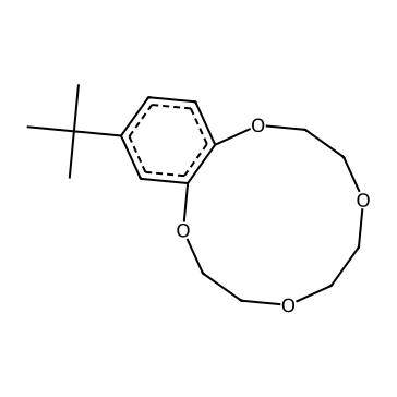 CC(C)(C)c1ccc2c(c1)OCCOCCOCCO2